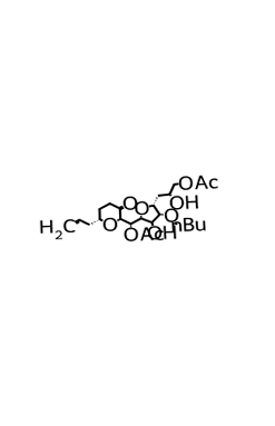 C=CC[C@@H]1CCC(=O)[C@@H]([C@@H](OC(C)=O)[C@@H]2O[C@H](C[C@@H](O)COC(C)=O)[C@H](OCCCC)C2O)O1